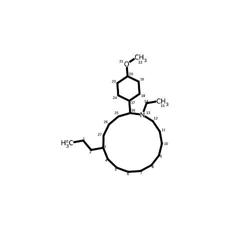 CCCC1CCCCCCCCCN(CC)C(C2CCC(OC)CC2)CCC1